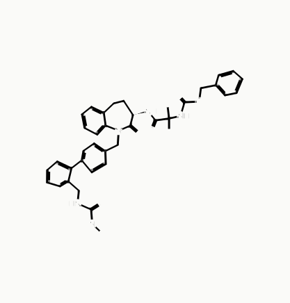 CNC(=O)NCc1ccccc1-c1ccc(CN2C(=O)[C@H](NC(=O)C(C)(C)NC(=O)OCc3ccccc3)CCc3ccccc32)cc1